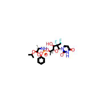 CC(C)OC(=O)[C@H](C)NP(=O)(Oc1ccccc1)O[C@H](C)[C@H]1O[C@@H](n2ccc(=O)[nH]c2=O)[C@@](F)(CF)C1O